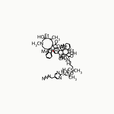 CC[C@]1(O)C[C@H](C)C[C@](C(=O)OC)(c2cc3c(cc2OC)N(C)[C@H]2[C@@](O)(C(=O)NCCC[Si](C)(C)O[Si](C)(C)CSc4ncc(CN=[N+]=[N-])cn4)[C@H](O)[C@]4(CC)C=CCN5CC[C@]32[C@@H]54)c2[nH]c3ccccc3c2CCN(C)C1